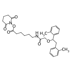 Cc1ccccc1CC(OCC(=O)NCCCCCC(=O)ON1C(=O)CCCC1=O)c1ccccc1C